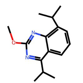 COc1nc(C(C)C)c2cccc(C(C)C)c2n1